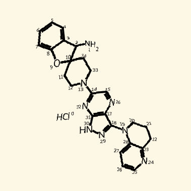 Cl.NC1c2ccccc2OC12CCN(c1cnc3c(N4CCCc5ncccc54)n[nH]c3n1)CC2